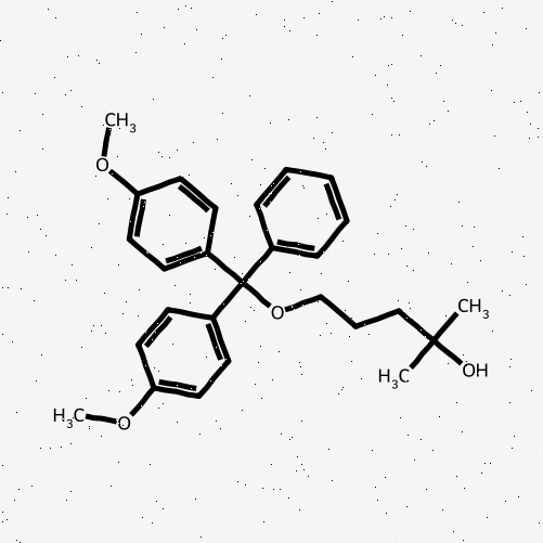 COc1ccc(C(OCCCC(C)(C)O)(c2ccccc2)c2ccc(OC)cc2)cc1